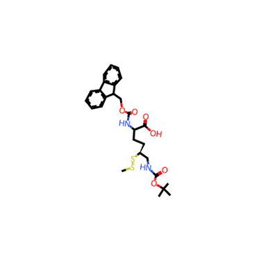 CSS[C@@H](CCC(NC(=O)OCC1c2ccccc2-c2ccccc21)C(=O)O)CNC(=O)OC(C)(C)C